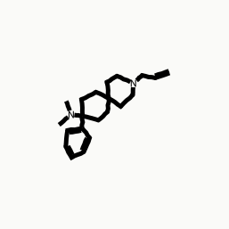 C=CCN1CCC2(CC1)CCC(c1ccccc1)(N(C)C)CC2